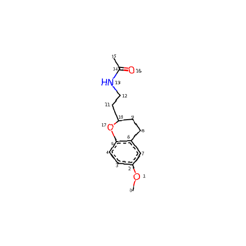 COc1ccc2c(c1)CCC(CCNC(C)=O)O2